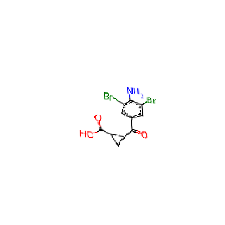 Nc1c(Br)cc(C(=O)C2CC2C(=O)O)cc1Br